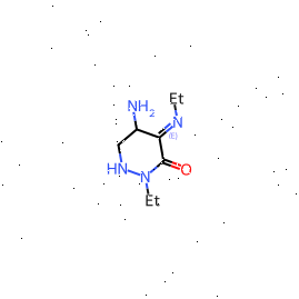 CC/N=C1/C(=O)N(CC)NCC1N